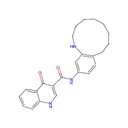 O=C(Nc1ccc2c(c1)NCCCCCCCC2)c1c[nH]c2ccccc2c1=O